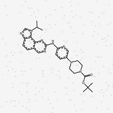 CC(C)n1cnc2ccc3cnc(Nc4ccc(N5CCN(C(=O)OC(C)(C)C)CC5)cn4)nc3c21